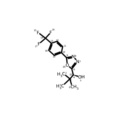 CC(C)(C)[C@H](O)c1nnc(-c2ccc(C(F)(F)F)cc2)o1